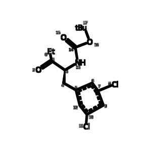 CCC(=O)[C@H](Cc1cc(Cl)cc(Cl)c1)NC(=O)OC(C)(C)C